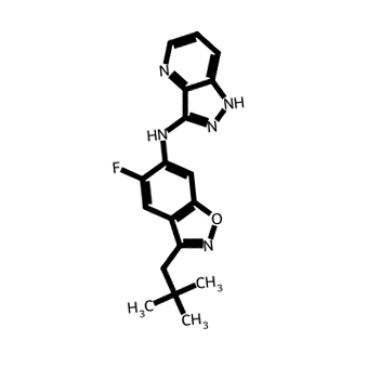 CC(C)(C)Cc1noc2cc(Nc3n[nH]c4cccnc34)c(F)cc12